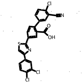 N#Cc1cc(-c2ccc(-c3nc(-c4ccc(Cl)c(Cl)c4)cs3)cc2C(=O)O)ccc1Cl